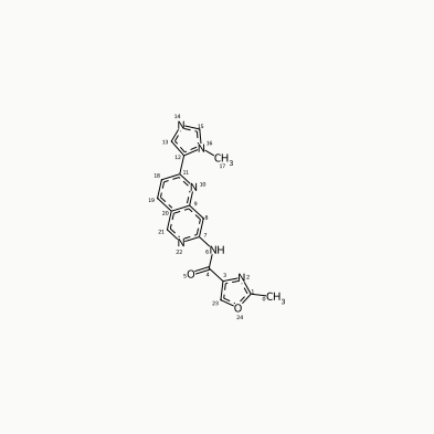 Cc1nc(C(=O)Nc2cc3nc(-c4cncn4C)ccc3cn2)co1